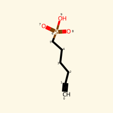 C#CCCCCS(=O)(=O)O